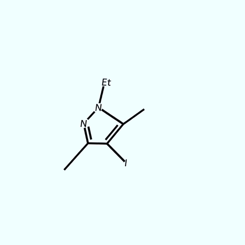 CCn1nc(C)c(I)c1C